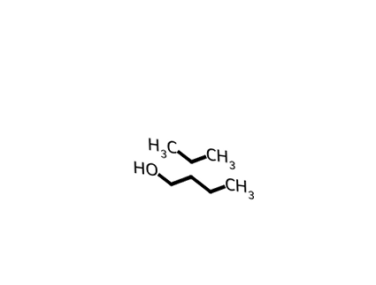 CCC.CCCCO